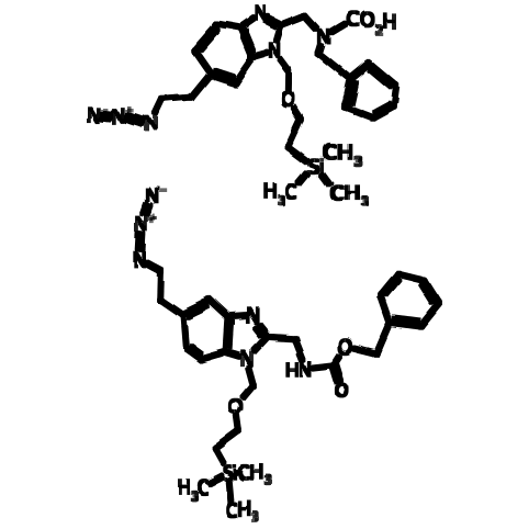 C[Si](C)(C)CCOCn1c(CN(Cc2ccccc2)C(=O)O)nc2ccc(CCN=[N+]=[N-])cc21.C[Si](C)(C)CCOCn1c(CNC(=O)OCc2ccccc2)nc2cc(CCN=[N+]=[N-])ccc21